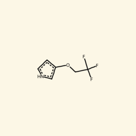 FC(F)(F)COc1cc[nH]c1